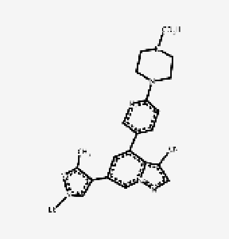 CCn1cc(-c2cc(-c3ccc(N4CCN(C(=O)O)CC4)nc3)c3c(C#N)cnn3c2)c(C)n1